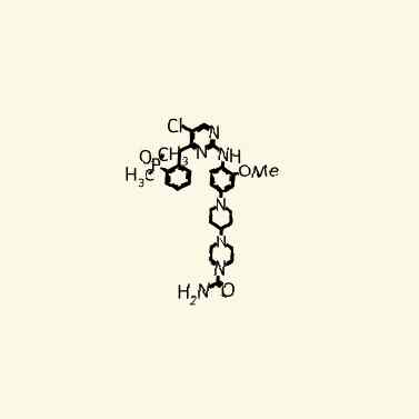 COc1cc(N2CCC(N3CCN(C(N)=O)CC3)CC2)ccc1Nc1ncc(Cl)c(Cc2ccccc2P(C)(C)=O)n1